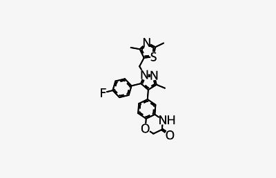 Cc1nc(C)c(Cn2nc(C)c(-c3ccc4c(c3)NC(=O)CO4)c2-c2ccc(F)cc2)s1